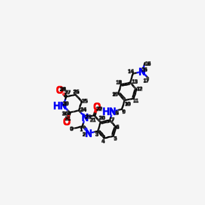 Cc1nc2cccc(NCc3ccc(CN(C)C)cc3)c2c(=O)n1C1CCC(=O)NC1=O